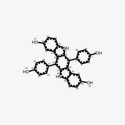 Oc1ccc(-c2c3[nH]c4ccc(O)cc4c3c(-c3ccc(O)cc3)c3[nH]c4ccc(O)cc4c23)cc1